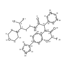 O=C(NCCC(C(F)F)N1CCOCC1)C(c1cncnc1)N(C(=O)C(F)Cl)c1ccc(-c2cncs2)cc1